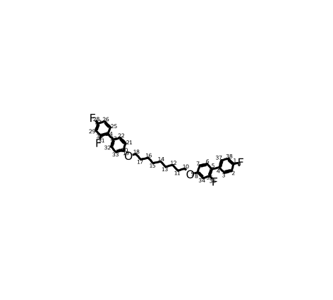 Fc1ccc(-c2ccc(OCCCCCCCCCOc3ccc(-c4ccc(F)cc4F)cc3)cc2F)cc1